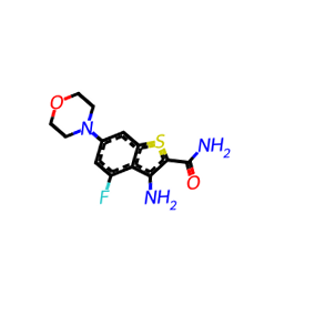 NC(=O)c1sc2cc(N3CCOCC3)cc(F)c2c1N